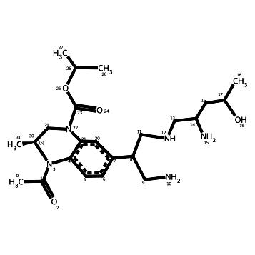 CC(=O)N1c2ccc(C(CN)CNCC(N)CC(C)O)cc2N(C(=O)OC(C)C)C[C@@H]1C